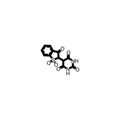 O=C1NC(=O)C(C2C(=O)c3ccccc3S2(=O)=O)C(=O)N1